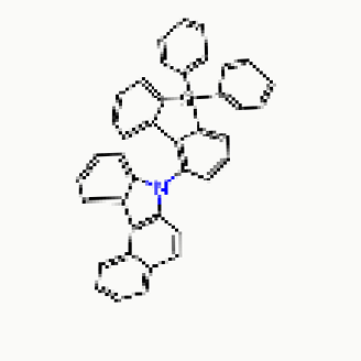 c1ccc([Si]2(c3ccccc3)c3ccccc3-c3c(-n4c5ccccc5c5c6ccccc6ccc54)cccc32)cc1